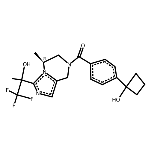 C[C@H]1CN(C(=O)c2ccc(C3(O)CCC3)cc2)Cc2cnc(C(C)(O)C(F)(F)F)n21